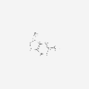 CC[C@H]1CCc2ccc(C)nc21